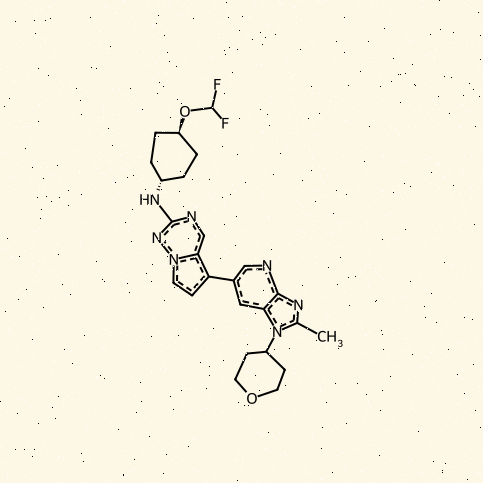 Cc1nc2ncc(-c3ccn4nc(N[C@H]5CC[C@H](OC(F)F)CC5)ncc34)cc2n1C1CCOCC1